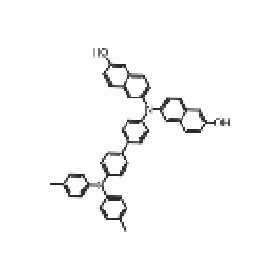 Cc1ccc(N(c2ccc(C)cc2)c2ccc(-c3ccc(N(c4ccc5cc(O)ccc5c4)c4ccc5cc(O)ccc5c4)cc3)cc2)cc1